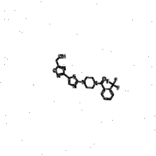 O=C(c1ccccc1C(F)(F)F)N1CCN(c2ncc(-c3noc(CO)n3)s2)CC1